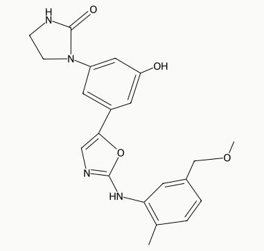 COCc1ccc(C)c(Nc2ncc(-c3cc(O)cc(N4CCNC4=O)c3)o2)c1